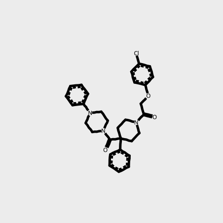 O=C(COc1ccc(Cl)cc1)N1CCC(C(=O)N2CCN(c3ccccc3)CC2)(c2ccccc2)CC1